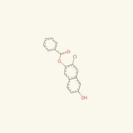 O=C(Oc1cc2ccc(O)cc2cc1Cl)c1ccccc1